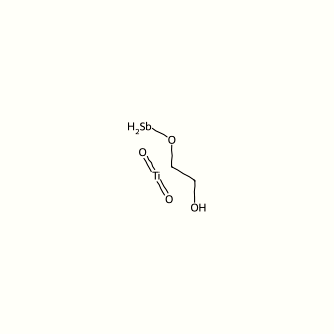 OCC[O][SbH2].[O]=[Ti]=[O]